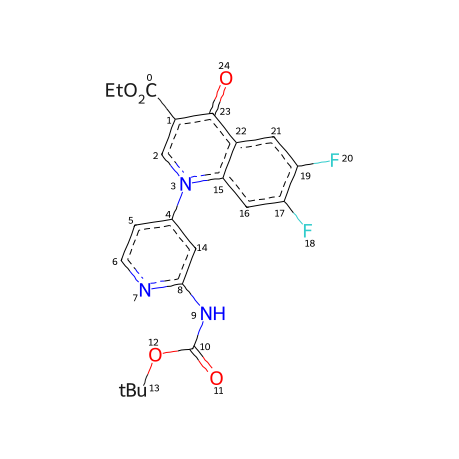 CCOC(=O)c1cn(-c2ccnc(NC(=O)OC(C)(C)C)c2)c2cc(F)c(F)cc2c1=O